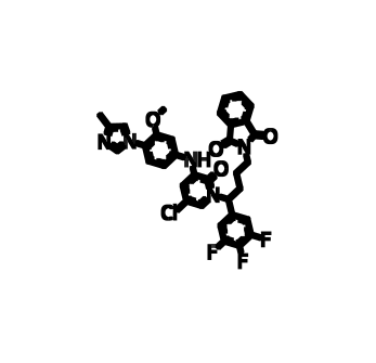 COc1cc(Nc2cc(Cl)cn(C(CCCN3C(=O)c4ccccc4C3=O)c3cc(F)c(F)c(F)c3)c2=O)ccc1-n1cnc(C)c1